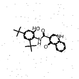 CC(C)(C)c1cc(O)c(NC(=O)c2c[nH]c3ccccc3c2=O)c(C(C)(C)C)c1